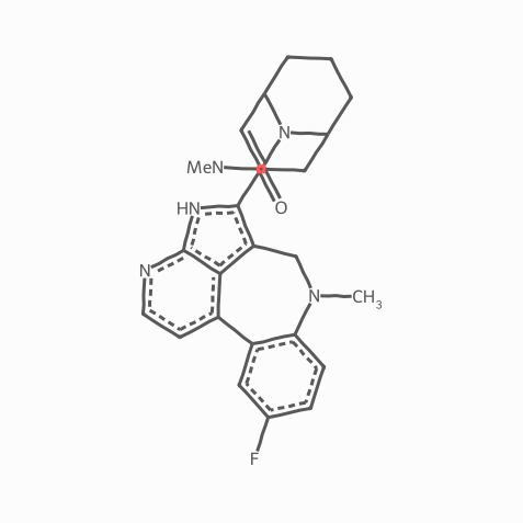 CNC(=O)N1C2C=C(c3[nH]c4nccc5c4c3CN(C)c3ccc(F)cc3-5)CC1CCC2